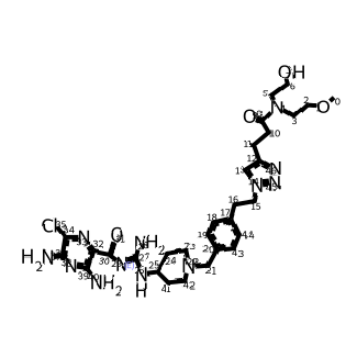 COCCN(CCO)C(=O)CCc1cn(CCc2ccc(CN3CCC(N/C(N)=N/C(=O)c4nc(Cl)c(N)nc4N)CC3)cc2)nn1